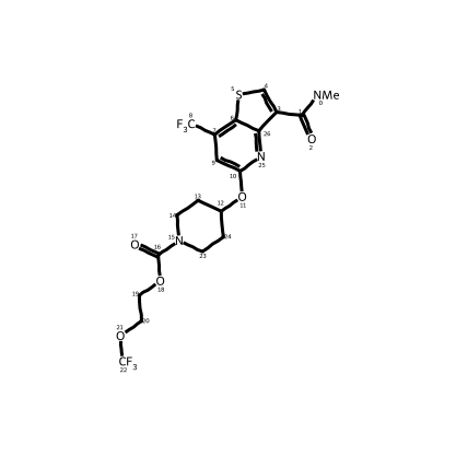 CNC(=O)c1csc2c(C(F)(F)F)cc(OC3CCN(C(=O)OCCOC(F)(F)F)CC3)nc12